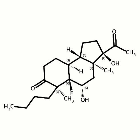 CCCC[C@@]1(C)C(=O)CC[C@H]2[C@@H]3CC[C@](O)(C(C)=O)[C@@]3(C)C[C@H](O)[C@@]21F